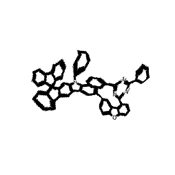 c1ccc(-c2nc(-c3ccccc3)nc(-c3cccc4oc5ccc(-c6ccc7c(c6)c6cc8c(cc6n7-c6ccccc6)C6(c7ccccc7-c7ccccc76)c6ccccc6-8)cc5c34)n2)cc1